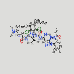 C=CC(=O)Nc1cccc(C)c1Nc1cc(N(CC2CCN(C(=O)/C=C/CN(C)C)CC2)C(=O)Nc2c(Cl)c(OC)cc(OC)c2Cl)ncn1